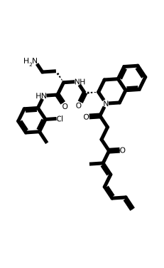 C=C/C=C\C=C(/C)C(=O)CCC(=O)N1Cc2ccccc2C[C@H]1C(=O)N[C@@H](CCN)C(=O)Nc1cccc(C)c1Cl